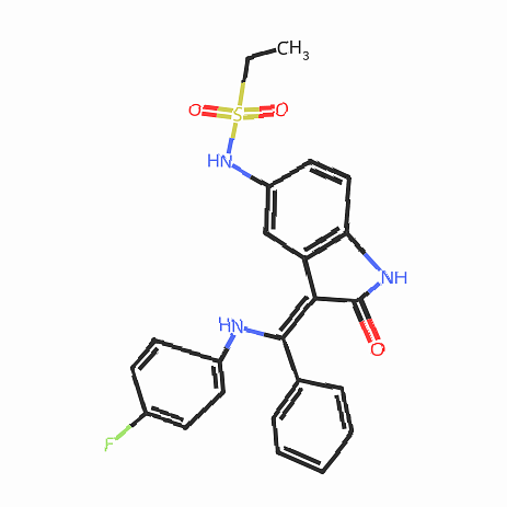 CCS(=O)(=O)Nc1ccc2c(c1)/C(=C(\Nc1ccc(F)cc1)c1ccccc1)C(=O)N2